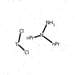 CCCN(N)CCC.[Cl][Ti][Cl]